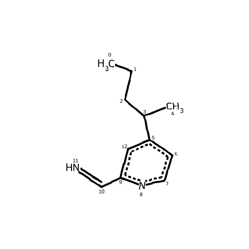 CCCC(C)c1ccnc(C=N)c1